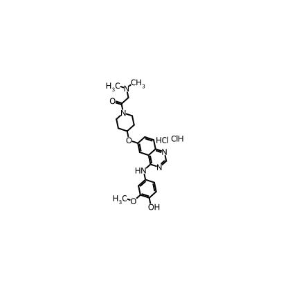 COc1cc(Nc2ncnc3ccc(OC4CCN(C(=O)CN(C)C)CC4)cc23)ccc1O.Cl.Cl